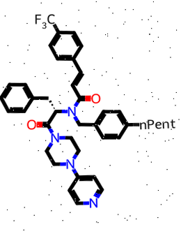 CCCCCc1ccc(CN(C(=O)/C=C/c2ccc(C(F)(F)F)cc2)[C@@H](Cc2ccccc2)C(=O)N2CCN(c3ccncc3)CC2)cc1